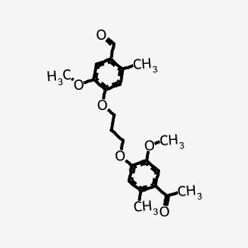 COc1cc(C=O)c(C)cc1OCCCOc1cc(C)c(C(C)=O)cc1OC